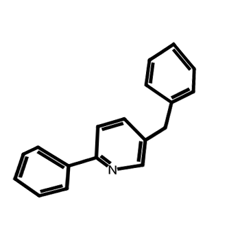 c1ccc(Cc2ccc(-c3ccccc3)nc2)cc1